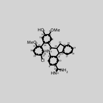 COc1cc(C2Nc3ccc(C(=N)N)cc3C3c4ccccc4CC23)c(-c2cc(Cl)ccc2OC)cc1O